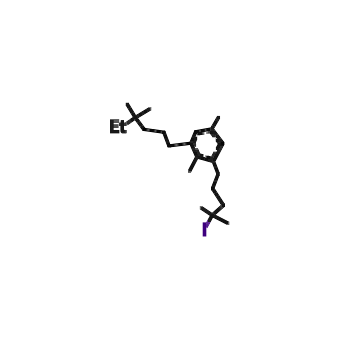 CCC(C)(C)CCCc1cc(C)cc(CCCC(C)(C)I)c1C